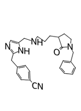 N#Cc1ccc(Cc2ncc(CNCCCC3CCN(Cc4ccccc4)C3=O)[nH]2)cc1